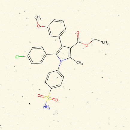 CCOC(=O)c1c(-c2cccc(OC)c2)c(-c2ccc(Cl)cc2)n(-c2ccc(S(N)(=O)=O)cc2)c1C